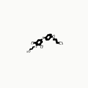 OCCCOc1c(Cl)cc(Sc2ccc(OCCCCl)cc2)cc1Cl